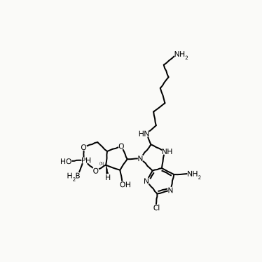 B[PH]1(O)OCC2OC(N3c4nc(Cl)nc(N)c4NC3NCCCCCCN)C(O)[C@@H]2O1